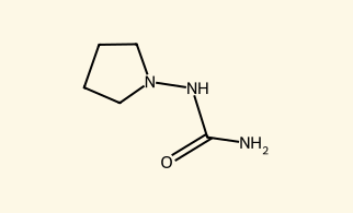 NC(=O)NN1CCCC1